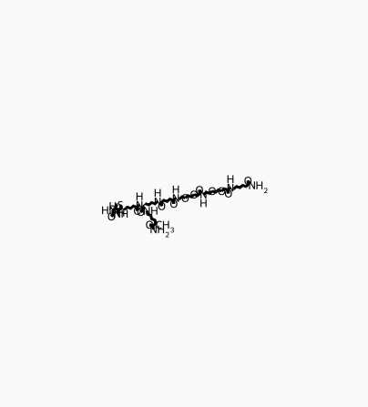 C[C@@H](CCCCNC(=O)[C@H](CCCCNC(=O)CCCC(=O)NCCOCCOCC(=O)NCCOCCOCC(=O)NCCCCCC(N)=O)NC(=O)CCCC[C@@H]1SC[C@@H]2NC(=O)N[C@@H]21)C(N)=O